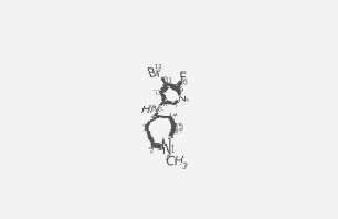 CN1CCC(Nc2cnc(F)c(Br)c2)CC1